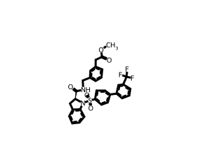 COC(=O)Cc1cccc(CNC(=O)[C@@H]2Cc3ccccc3N2S(=O)(=O)c2ccc(-c3cccc(C(F)(F)F)c3)cc2)c1